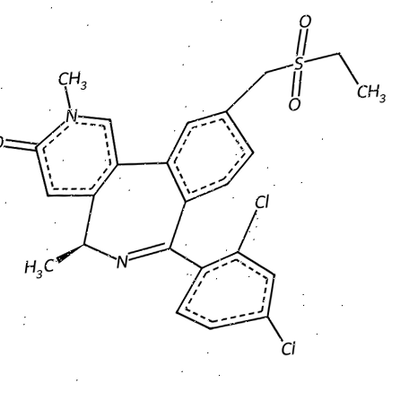 CCS(=O)(=O)Cc1ccc2c(c1)-c1cn(C)c(=O)cc1[C@H](C)N=C2c1ccc(Cl)cc1Cl